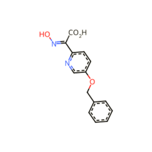 O=C(O)/C(=N\O)c1ccc(OCc2ccccc2)cn1